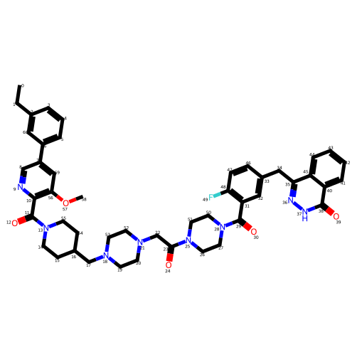 CCc1cccc(-c2cnc(C(=O)N3CCC(CN4CCN(CC(=O)N5CCN(C(=O)c6cc(Cc7n[nH]c(=O)c8ccccc78)ccc6F)CC5)CC4)CC3)c(OC)c2)c1